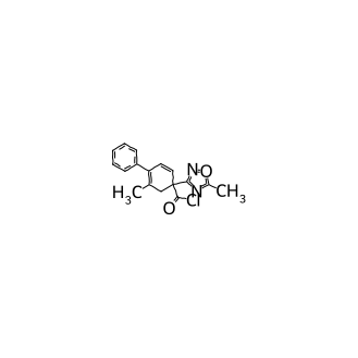 CC1=C(c2ccccc2)C=CC(C(=O)Cl)(c2noc(C)n2)C1